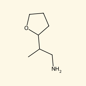 CC(CN)C1CCCO1